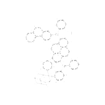 Cc1ccccc1N(c1ccc2c(ccc3ccccc32)c1)c1ccc2ccc3c(N(c4ccccc4)c4cccc5c4-c4ccccc4C54C5CC6CC(C5)CC4C6)ccc4ccc1c2c43